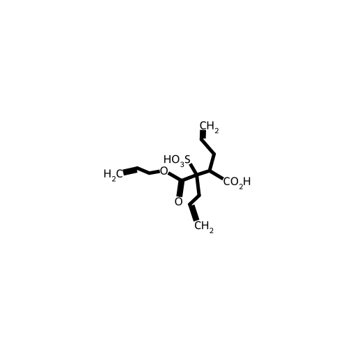 C=CCOC(=O)C(CC=C)(C(CC=C)C(=O)O)S(=O)(=O)O